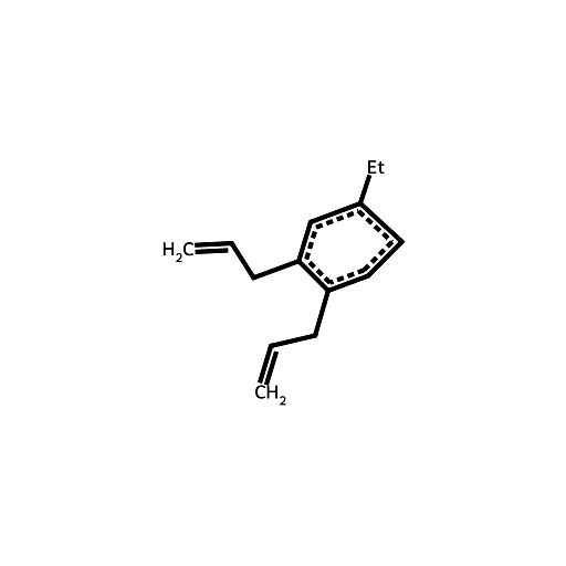 [CH2]Cc1ccc(CC=C)c(CC=C)c1